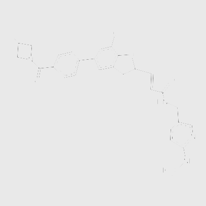 O=C(O)Nc1ccc(CNC(=O)C=CC2Cc3cc(-c4ccc(C(=O)N5CC(F)C5)cc4)cc(Cl)c3O2)cn1